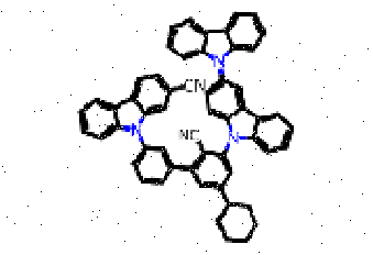 N#Cc1ccc2c3ccccc3n(-c3cccc(-c4cc(C5CCCCC5)cc(-n5c6ccccc6c6cc(-n7c8ccccc8c8ccccc87)ccc65)c4C#N)c3)c2c1